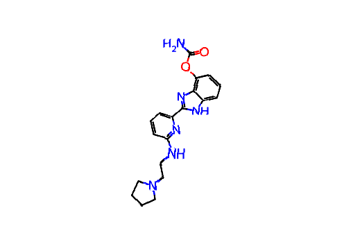 NC(=O)Oc1cccc2[nH]c(-c3cccc(NCCN4CCCC4)n3)nc12